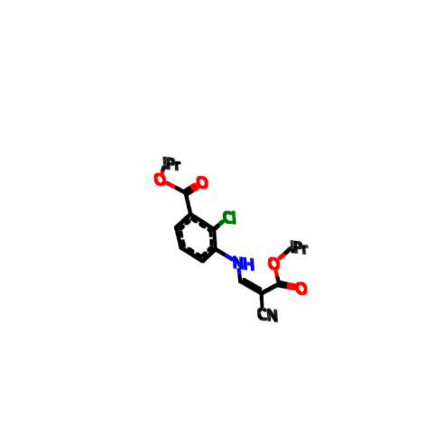 CC(C)OC(=O)C(C#N)=CNc1cccc(C(=O)OC(C)C)c1Cl